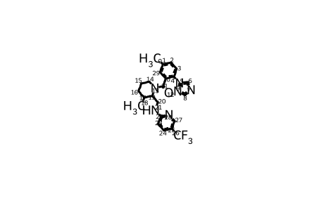 Cc1ccc(-n2cncn2)c(C(=O)N2CCCC(C)C2CNc2ccc(C(F)(F)F)cn2)c1